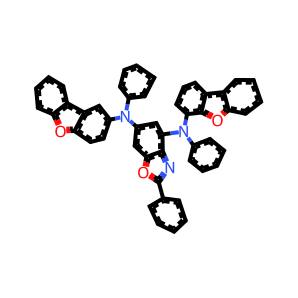 c1ccc(-c2nc3c(N(c4ccccc4)c4cccc5c4oc4ccccc45)cc(N(c4ccccc4)c4ccc5oc6ccccc6c5c4)cc3o2)cc1